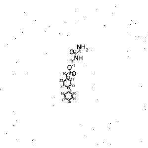 NCC(=O)NCCOC(=O)Cc1ccc(-c2ccccc2)cc1